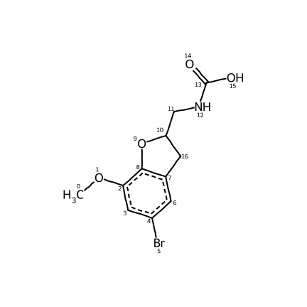 COc1cc(Br)cc2c1OC(CNC(=O)O)C2